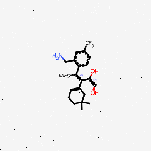 CS/C(=C(C1=CCCC(C)(C)C1)/C(O)=C\O)c1ccc(C(F)(F)F)cc1CN